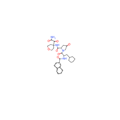 NC(=O)C(=O)C1(NC(=O)C2CC(=O)CN2C(=O)C(CC2CCCCC2)NC(=O)c2ccc3ccccc3c2)CCOCC1